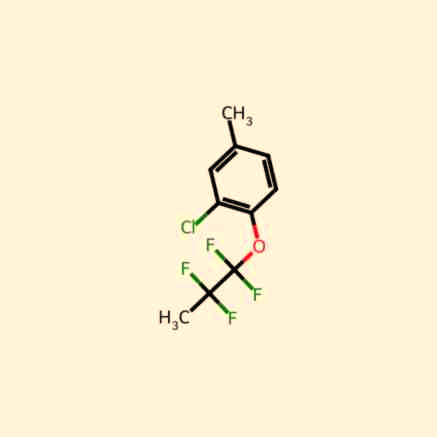 Cc1ccc(OC(F)(F)C(C)(F)F)c(Cl)c1